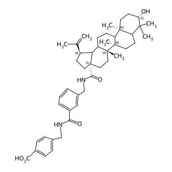 C=C(C)[C@@H]1CC[C@]2(C(=O)NCc3cccc(C(=O)NCc4ccc(C(=O)O)cc4)c3)CC[C@]3(C)C(CCC4[C@@]5(C)CC[C@H](O)C(C)(C)C5CC[C@]43C)C12